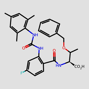 Cc1cc(C)c(NC(=O)Nc2cc(F)ccc2C(=O)N[C@H](C(=O)O)C(C)OCc2ccccc2)c(C)c1